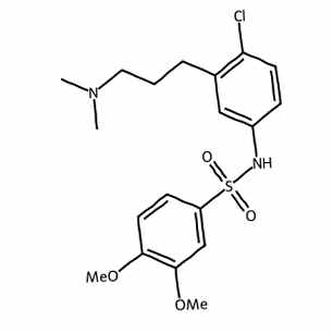 COc1ccc(S(=O)(=O)Nc2ccc(Cl)c(CCCN(C)C)c2)cc1OC